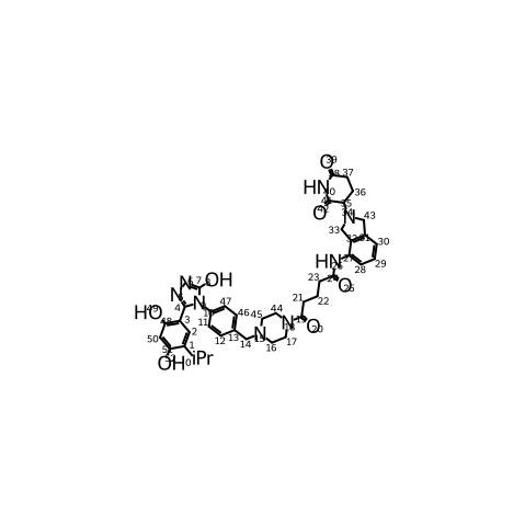 CC(C)c1cc(-c2nnc(O)n2-c2ccc(CN3CCN(C(=O)CCCC(=O)Nc4cccc5c4CN(C4CCC(=O)NC4=O)C5)CC3)cc2)c(O)cc1O